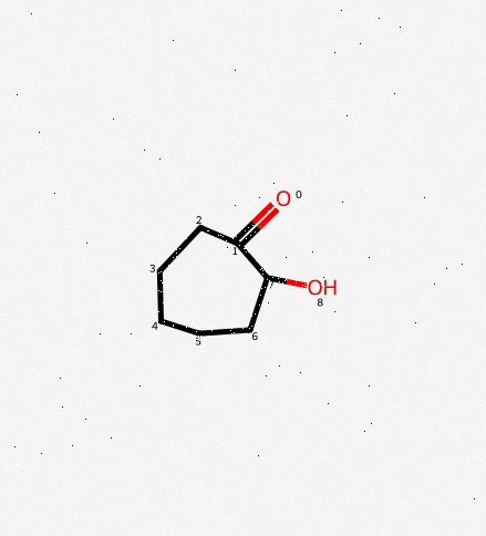 O=C1CCCCCC1O